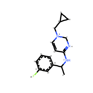 CC(NC1=NCN(CC2CC2)C=C1)c1cccc(F)c1